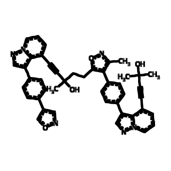 Cc1noc(CCC(C)(O)C#Cc2cccn3ncc(-c4ccc(-c5cnoc5)cc4)c23)c1-c1ccc(-c2cnn3cccc(C#CC(C)(C)O)c23)cc1